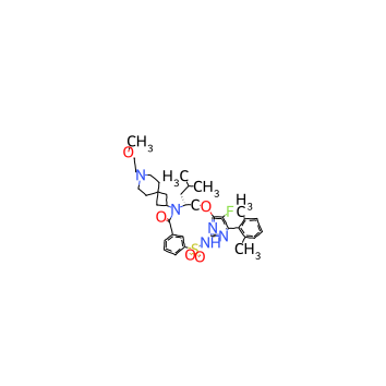 COCCN1CCC2(CC1)CC(N1C(=O)c3cccc(c3)S(=O)(=O)Nc3nc(c(F)c(-c4c(C)cccc4C)n3)OC[C@H]1CC(C)C)C2